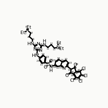 CCN(CC)CCCNc1nc(NCCCN(CC)CC)nc(Nc2ccc(S(=O)(=O)Nc3ccc4ccc(C5C(=O)c6c(Cl)c(Cl)c(Cl)c(Cl)c6C5=O)nc4c3)cc2)n1